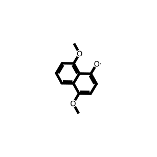 COc1ccc([O])c2c(OC)cccc12